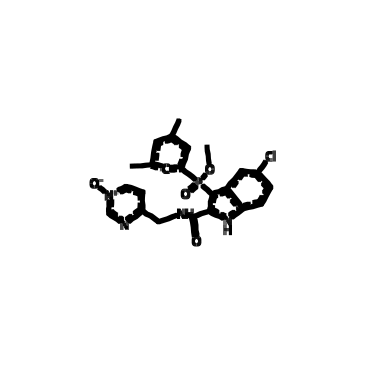 COP(=O)(c1cc(C)cc(C)c1)c1c(C(=O)NCc2cc[n+]([O-])cn2)[nH]c2ccc(Cl)cc12